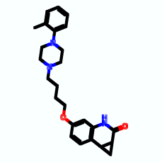 Cc1ccccc1N1CCN(CCCCOc2ccc3c(c2)NC(=O)C2CC32)CC1